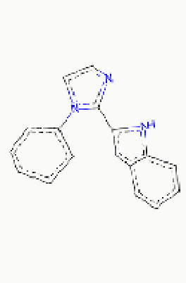 c1ccc(-n2ccnc2-c2cc3ccccc3[nH]2)cc1